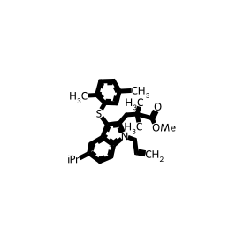 C=CCn1c(CC(C)(C)C(=O)OC)c(Sc2cc(C)ccc2C)c2cc(C(C)C)ccc21